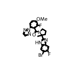 COc1ccc(-n2nccn2)c(C(=O)N2CCCC2(C)c2nc3cc(F)c(Br)cc3[nH]2)c1F